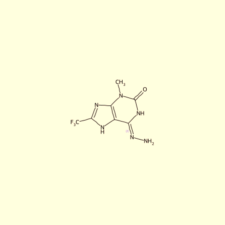 Cn1c(=O)[nH]/c(=N\N)c2[nH]c(C(F)(F)F)nc21